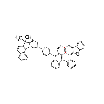 CC1(C)c2ccc(-c3ccc(-c4c5ccccc5c(-c5ccccc5-c5cccc6c5oc5ccccc56)c5ccccc45)cc3)cc2-c2c1ccc1ccccc21